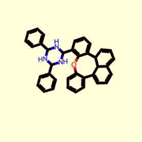 C1=CC2=CC=CC3c4cccc(C5NC(c6ccccc6)NC(c6ccccc6)N5)c4Oc4ccccc4C(=C1)C23